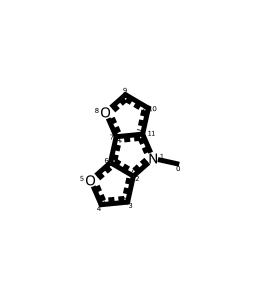 Cn1c2ccoc2c2occc21